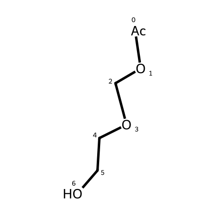 CC(=O)OCOCCO